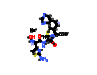 Nc1nc(/C(=N/O)C(=O)N[C@@H]2C(=O)N3C(C(=O)[O-])=C(/C=C\c4cncnc4)CS[C@H]23)cs1.[Na+]